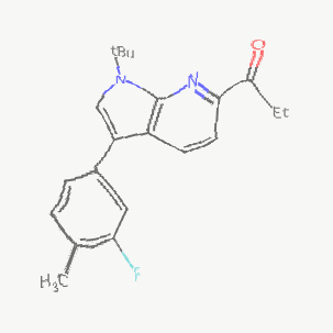 CCC(=O)c1ccc2c(-c3ccc(C)c(F)c3)cn(C(C)(C)C)c2n1